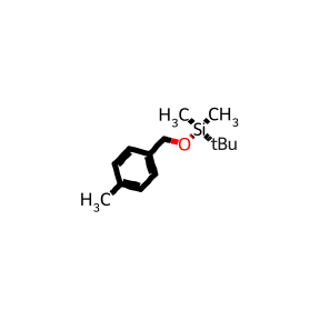 Cc1ccc(CO[Si](C)(C)C(C)(C)C)cc1